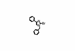 Brc1nc(-c2ccccc2)cn1Cc1ccccc1